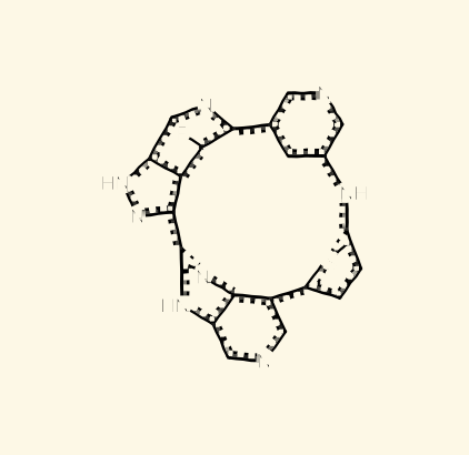 Fc1c2ncc3[nH]nc(c4nc5c(cncc5c5ccc([nH]c6cncc2c6)s5)[nH]4)c13